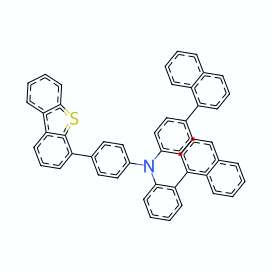 c1ccc(N(c2ccc(-c3cccc4ccccc34)cc2)c2ccc(-c3cccc4c3sc3ccccc34)cc2)c(-c2cccc3ccccc23)c1